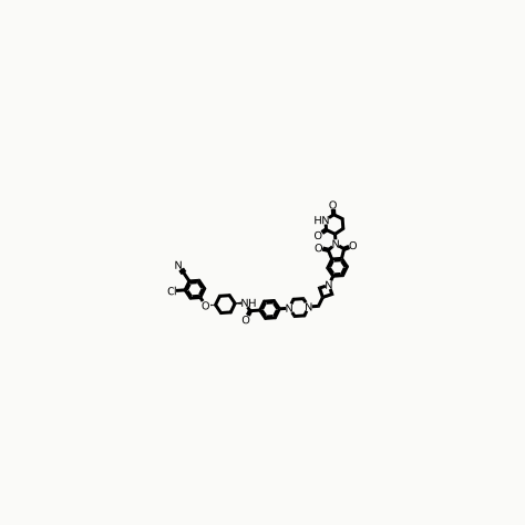 N#Cc1ccc(O[C@H]2CC[C@H](NC(=O)c3ccc(N4CCN(CC5CN(c6ccc7c(c6)C(=O)N(C6CCC(=O)NC6=O)C7=O)C5)CC4)cc3)CC2)cc1Cl